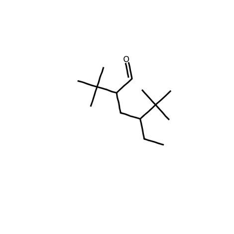 CCC(CC(C=O)C(C)(C)C)C(C)(C)C